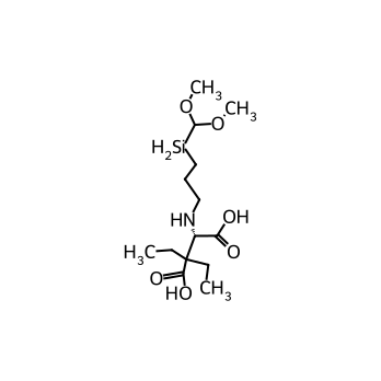 CCC(CC)(C(=O)O)[C@H](NCCC[SiH2]C(OC)OC)C(=O)O